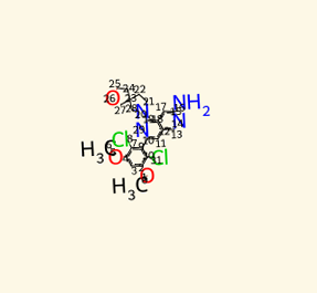 COc1cc(OC)c(Cl)c(-c2cc3cnc(N)cc3c(N3CCC4(CCOC4)C3)n2)c1Cl